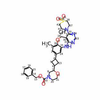 Cc1cc(C2CC(C3CN(C(=O)OCc4ccccc4)CCO3)C2)cc2c1O[C@H](C)c1c(ncnc1N1CCS(=O)(=O)CC1)N2